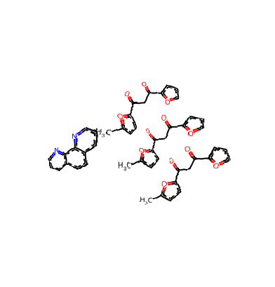 Cc1ccc(C(=O)CC(=O)c2ccco2)o1.Cc1ccc(C(=O)CC(=O)c2ccco2)o1.Cc1ccc(C(=O)CC(=O)c2ccco2)o1.c1cnc2c(c1)ccc1cccnc12